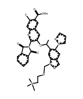 COC(=O)c1cc2cc(OC(C)c3cc4c(cnn4COCC[Si](C)(C)C)cc3-n3cccn3)c(N3C(=O)c4ccccc4C3=O)nc2cc1F